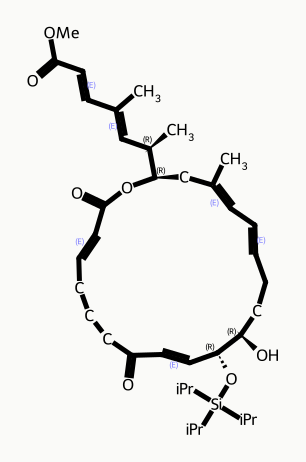 COC(=O)/C=C/C(C)=C/[C@@H](C)[C@H]1C/C(C)=C/C=C/CC[C@@H](O)[C@H](O[Si](C(C)C)(C(C)C)C(C)C)/C=C/C(=O)CCC/C=C/C(=O)O1